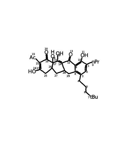 CCCc1cc(CCCC(C)(C)C)c2c(c1O)C(=O)C1=C(O)C3(O)C(=O)C(C(C)=O)=C(O)CC3CC1C2